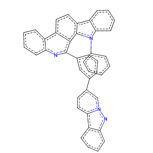 c1ccc(-n2c3ccccc3c3ccc4c5ccccc5nc(-c5cccc(-c6ccc7c8ccccc8nn7c6)c5)c4c32)cc1